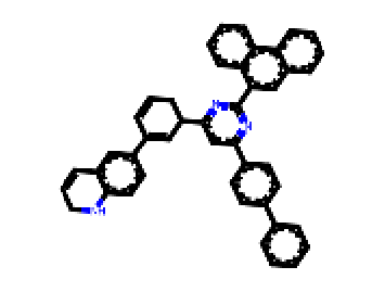 C1=Cc2cc(C3=CC(c4cc(-c5ccc(-c6ccccc6)cc5)nc(-c5cc6ccccc6c6ccccc56)n4)CC=C3)ccc2NC1